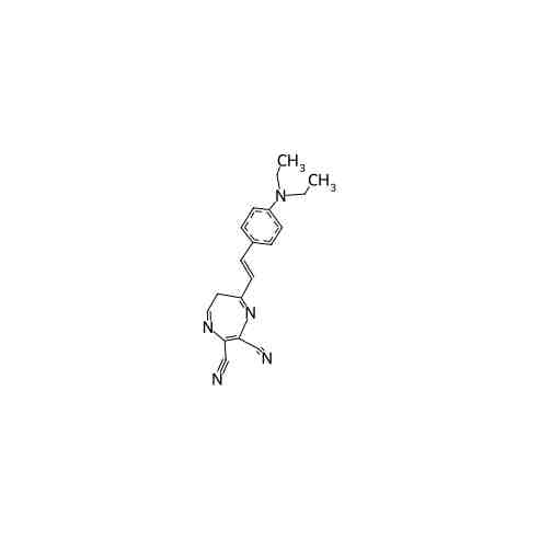 CCN(CC)c1ccc(/C=C/C2=NC(C#N)=C(C#N)N=CC2)cc1